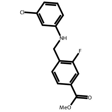 COC(=O)c1ccc(CNc2cccc(Cl)c2)c(F)c1